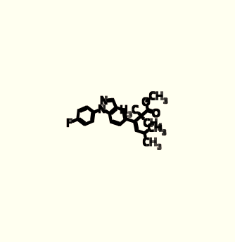 COC(=O)C(C)(C)C(=CC(C)C)c1ccc2c(cnn2-c2ccc(F)cc2)c1